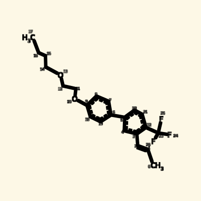 C/C=C/c1cc(-c2ccc(OCCOCCCC)cc2)ccc1C(F)(F)F